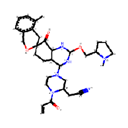 C=CC(=O)N1CCN(C2NC(OCC3CCCN3C)NC3C(=O)[C@@]4(CCC32)Cc2c(C)cccc2CO4)CC1CC#N